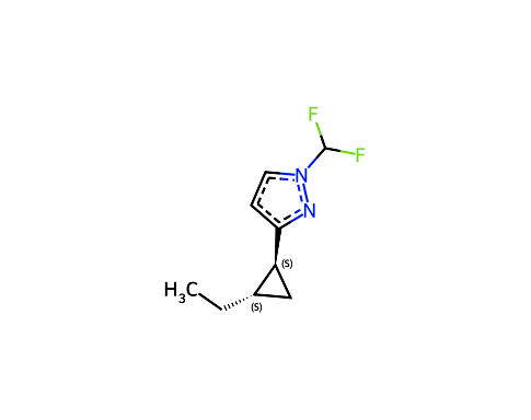 CC[C@H]1C[C@@H]1c1ccn(C(F)F)n1